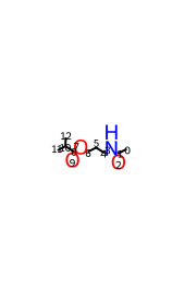 CC(=O)NCCCOC(=O)C(C)C